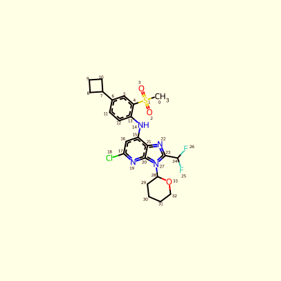 CS(=O)(=O)c1cc(C2CCC2)ccc1Nc1cc(Cl)nc2c1nc(C(F)F)n2C1CCCCO1